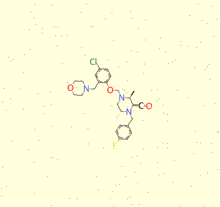 C[C@@H]1CN(COc2ccc(Cl)cc2CN2CCOCC2)[C@@H](C)C(=C=O)N1Cc1ccc(F)cc1